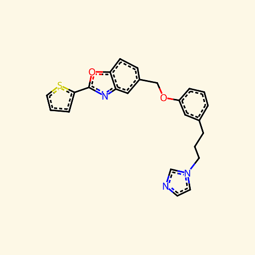 c1cc(CCCn2ccnc2)cc(OCc2ccc3oc(-c4cccs4)nc3c2)c1